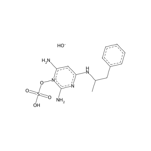 CC(Cc1ccccc1)Nc1cc(N)[n+](OS(=O)(=O)O)c(N)n1.[OH-]